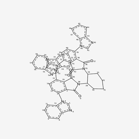 O=C1c2c(-n3cnc4ccccc43)ccc(-n3cnc4ccccc43)c2C(=O)N1C1CCCCC1N1C(=O)c2c(-n3cnc4ccccc43)ccc(-n3cnc4ccccc43)c2C1=O